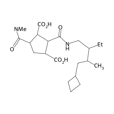 CCC(CNC(=O)C1C(C(=O)O)CC(C(=O)NC)C1C(=O)O)C(C)CC1CCC1